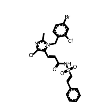 Cc1nc(Cl)c(/C=C/C(=O)NS(=O)(=O)/C=C/c2ccccc2)n1Cc1ccc(Br)cc1Cl